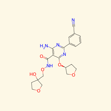 N#Cc1cccc(-c2nc(N)c(C(=O)NOCC3(O)CCOC3)c(O[C@H]3CCOC3)n2)c1